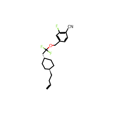 C=CCC[C@H]1CC[C@H](CC(F)(F)OCc2ccc(C#N)c(F)c2)CC1